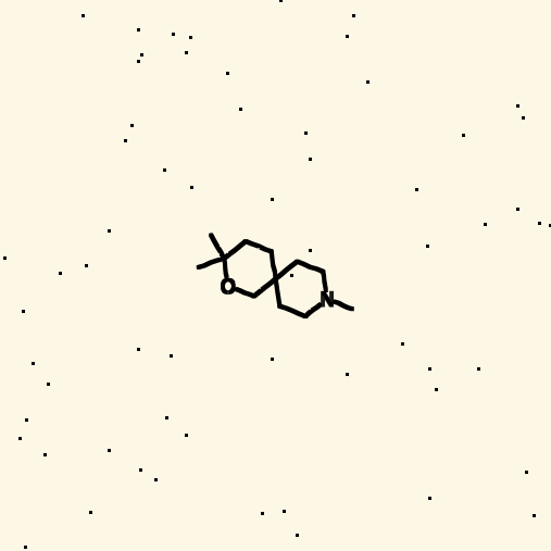 CN1CCC2(CC1)CCC(C)(C)OC2